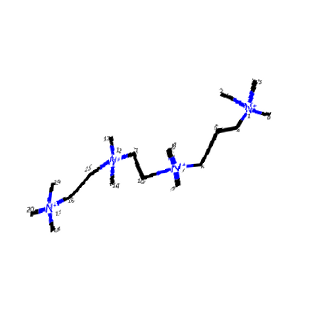 C[N+](C)(C)CCC[N+](C)(C)CC[N+](C)(C)CC[N+](C)(C)C